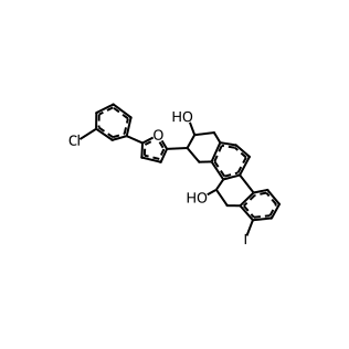 OC1Cc2c(I)cccc2-c2ccc3c(c21)CC(c1ccc(-c2cccc(Cl)c2)o1)C(O)C3